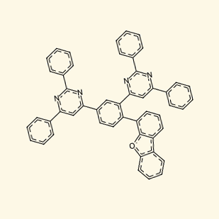 c1ccc(-c2cc(-c3ccc(-c4cccc5c4oc4ccccc45)c(-c4cc(-c5ccccc5)nc(-c5ccccc5)n4)c3)nc(-c3ccccc3)n2)cc1